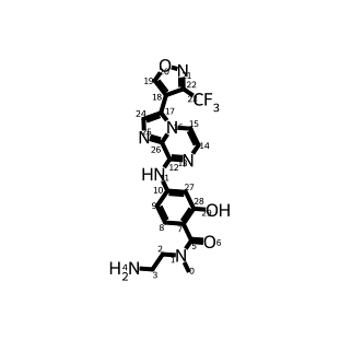 CN(CCN)C(=O)c1ccc(Nc2nccn3c(-c4conc4C(F)(F)F)cnc23)cc1O